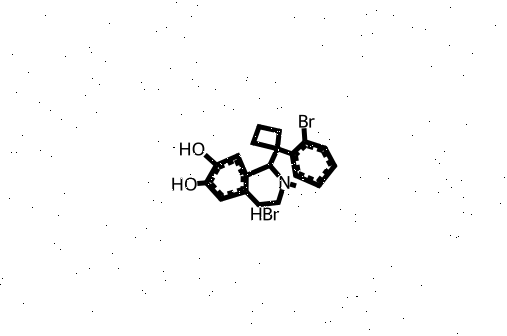 Br.CN1CCc2cc(O)c(O)cc2C1C1(c2ccccc2Br)CCC1